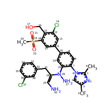 Cc1nc(C(F)(F)F)cn1-c1ccc(-c2cc(Cl)c(CO)c(S(C)(=O)=O)c2)cc1N(N)/C(=C\N)Cc1cccc(Cl)c1